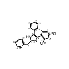 Clc1ccc(-c2nc(Cc3ccccn3)[nH]c2-c2ccccc2)c(Cl)c1